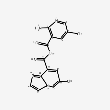 Nc1ncc(Cl)cc1C(=O)OC(=O)c1cc(Cl)cn2ccnc12